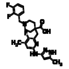 Cc1cc(Nc2cc(C)c(F)c(CC3(C(=O)O)CCN(Cc4cccc(F)c4F)CC3)n2)n[nH]1